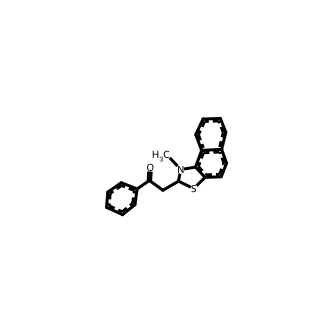 CN1c2c(ccc3ccccc23)SC1CC(=O)c1ccccc1